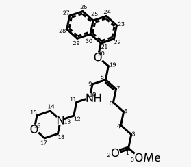 COC(=O)CCCCC=C(CNCCN1CCOCC1)COc1cccc2ccccc12